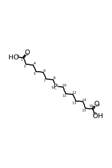 O=C(O)CCCCCC[P]CCCCCCC(=O)O